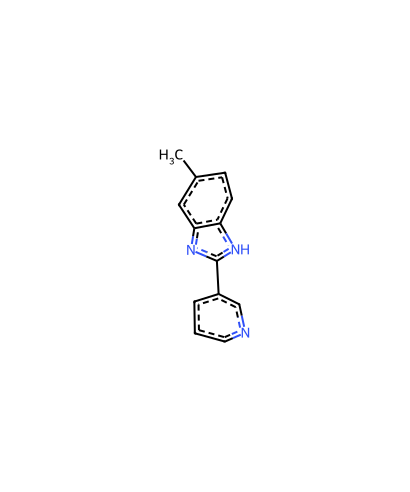 Cc1ccc2[nH]c(-c3cccnc3)nc2c1